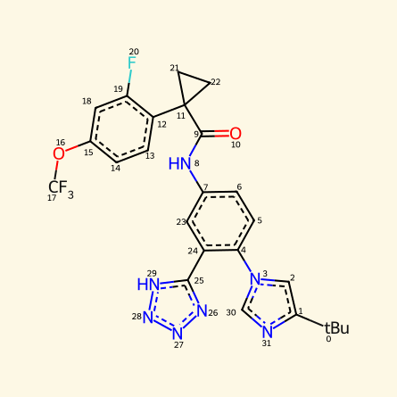 CC(C)(C)c1cn(-c2ccc(NC(=O)C3(c4ccc(OC(F)(F)F)cc4F)CC3)cc2-c2nnn[nH]2)cn1